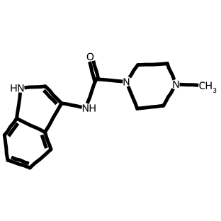 CN1CCN(C(=O)Nc2c[nH]c3ccccc23)CC1